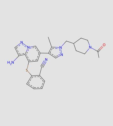 CC(=O)N1CCC(Cn2ncc(-c3cc(Sc4ccccc4C#N)c4c(N)cnn4c3)c2C)CC1